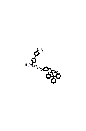 C/C(=N/OCCOc1ccc(CC2SC(=O)N(C(c3ccccc3)(c3ccccc3)c3ccccc3)C2=O)cc1)c1ccc(-c2ccc(C)cc2)cc1